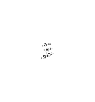 [Al+3].[O-2].[Si+4].[Zr+4]